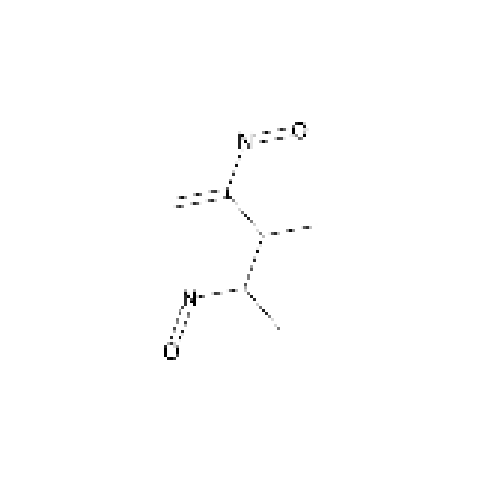 C=C(N=O)C(C)C(C)N=O